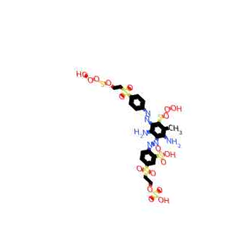 Cc1c(N)c(/N=N/c2ccc(S(=O)(=O)CCOS(=O)(=O)O)cc2S(=O)(=O)O)c(N)c(/N=N/c2ccc(S(=O)(=O)CCOSOOO)cc2)c1SOOO